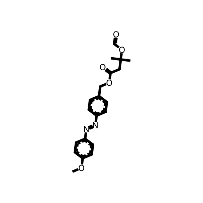 COc1ccc(N=Nc2ccc(COC(=O)CC(C)(C)OC=O)cc2)cc1